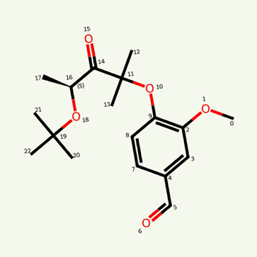 COc1cc(C=O)ccc1OC(C)(C)C(=O)[C@H](C)OC(C)(C)C